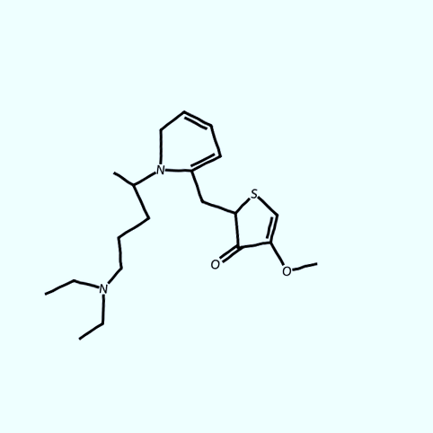 CCN(CC)CCCC(C)N1CC=CC=C1CC1SC=C(OC)C1=O